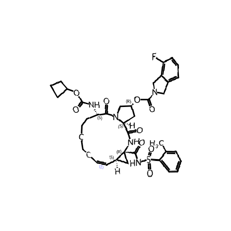 Cc1ccccc1S(=O)(=O)NC(=O)[C@@]12C[C@H]1/C=C\CCCCC[C@H](NC(=O)OC1CCC1)C(=O)N1C[C@H](OC(=O)N3Cc4cccc(F)c4C3)C[C@H]1C(=O)N2